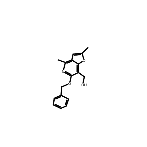 Cc1cc2c(C)nc(OCc3ccccc3)c(CO)c2o1